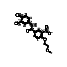 COCCOc1ccc(C(=O)Nc2ccc(Cl)c(Cl)c2)cc1[N+](=O)[O-]